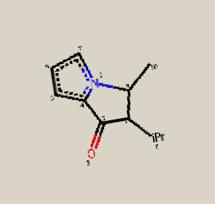 CC(C)C1C(=O)c2cccn2C1C